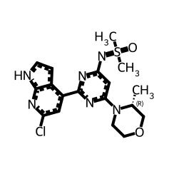 C[C@@H]1COCCN1c1cc(N=S(C)(C)=O)nc(-c2cc(Cl)nc3[nH]ccc23)n1